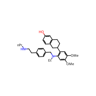 CCCNCCc1ccc(CN(CC)c2cc(OC)c(OC)cc2C2CCc3cc(O)ccc3C2)cc1